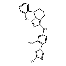 COc1cc(Nc2nnn3c2CCCC3c2ccccc2C(F)(F)F)ccc1-n1cnc(C)c1